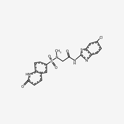 CN(CC(=O)Nc1nc2ccc(Cl)cc2s1)S(=O)(=O)c1ccc2[nH]c(=O)ccc2c1